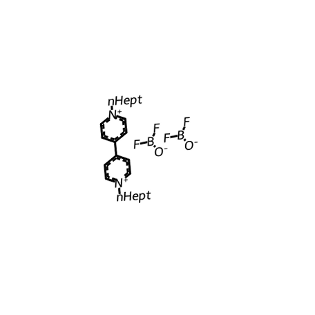 CCCCCCC[n+]1ccc(-c2cc[n+](CCCCCCC)cc2)cc1.[O-]B(F)F.[O-]B(F)F